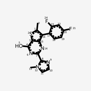 Cc1sc2c(O)nc(-c3nccn3C)nc2c1-c1ccc(F)cc1F